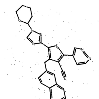 N#Cc1c(-c2ccnnc2)sc(-c2ncn(C3CCCCO3)n2)c1Cc1ccc2ccccc2c1